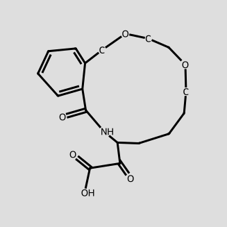 O=C(O)C(=O)C1CCCCOCCOCc2ccccc2C(=O)N1